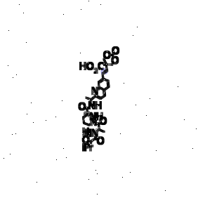 CC(NC(=O)C(O)C(C)C)C(=O)N1CCC[C@@H](C(=O)NC(C)c2ccc3ccc(/C=C/C4(C(=O)O)COC(=O)OC4)cc3n2)N1